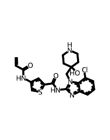 C=CC(=O)Nc1csc(C(=O)Nc2nc3cccc(Cl)c3n2CC2(O)CCNCC2)c1